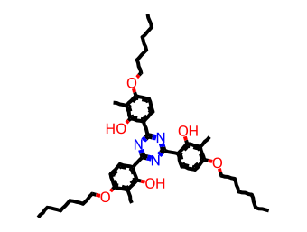 CCCCCCOc1ccc(-c2nc(-c3ccc(OCCCCCC)c(C)c3O)nc(-c3ccc(OCCCCCC)c(C)c3O)n2)c(O)c1C